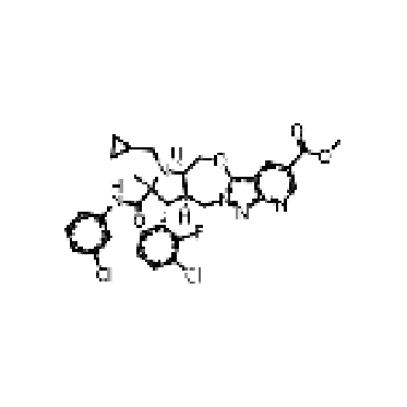 COC(=O)c1cnc2nn3c(c2c1)OC[C@H]1[C@@H](C3)[C@H](c2cccc(Cl)c2F)[C@](C)(C(=O)Nc2cccc(Cl)c2)N1CC1CC1